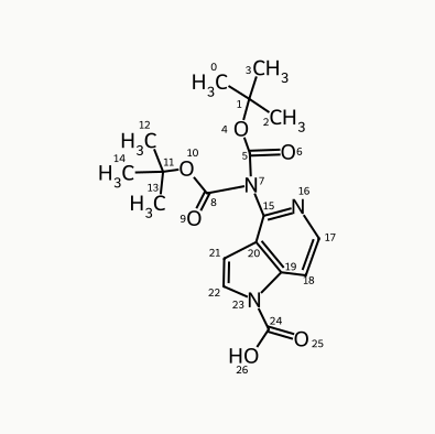 CC(C)(C)OC(=O)N(C(=O)OC(C)(C)C)c1nccc2c1ccn2C(=O)O